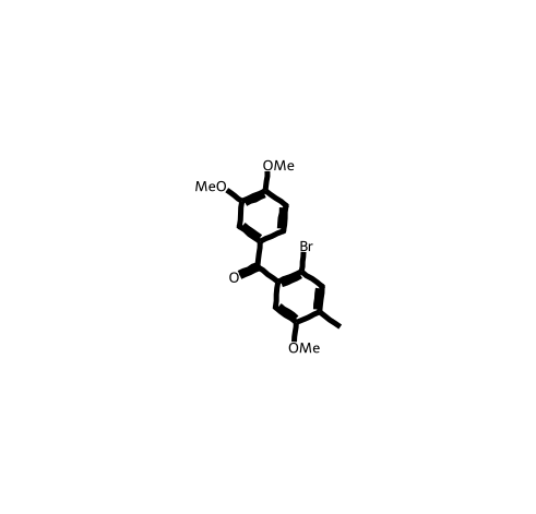 COc1cc(C(=O)c2ccc(OC)c(OC)c2)c(Br)cc1C